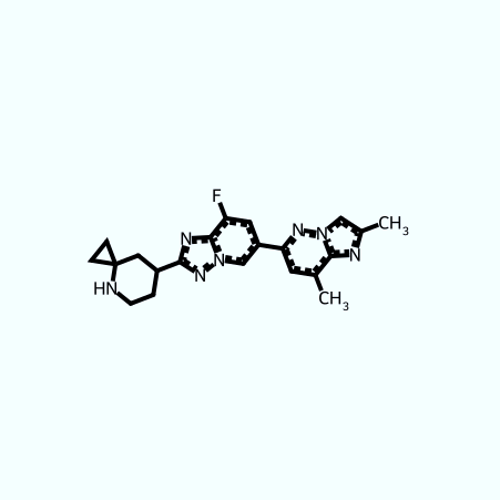 Cc1cn2nc(-c3cc(F)c4nc(C5CCNC6(CC6)C5)nn4c3)cc(C)c2n1